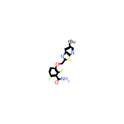 CC(C)(C)c1cnc2sc(COc3ccc(F)c(C(N)=O)c3F)nc2c1